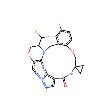 O=C1NC2(CC2)COc2ccc(F)cc2CN2c3nc4c1cnn4cc3OCC2C(F)F